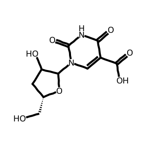 O=C(O)c1cn(C2O[C@H](CO)CC2O)c(=O)[nH]c1=O